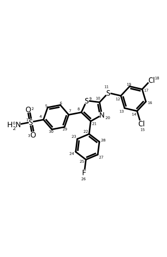 NS(=O)(=O)c1ccc(-c2sc(Sc3cc(Cl)cc(Cl)c3)nc2-c2ccc(F)cc2)cc1